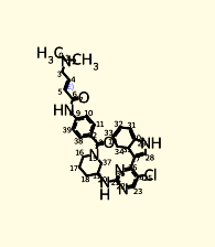 CN(C)C/C=C/C(=O)Nc1ccc(C(=O)N2CCCC(Nc3ncc(Cl)c(C4=CNC5=CC=CCC54)n3)C2)cc1